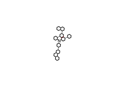 c1ccc(-c2ccc(N(c3ccc(-c4ccc5c(ccc6ccccc65)c4)cc3)c3ccccc3-c3cccc(-c4cccc5ccccc45)c3)cc2)cc1